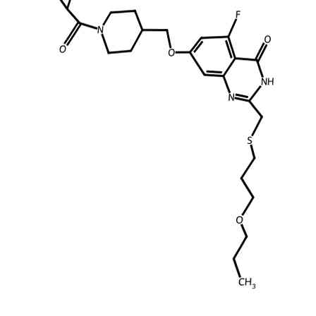 CCCOCCCSCc1nc2cc(OCC3CCN(C(=O)C4CC4)CC3)cc(F)c2c(=O)[nH]1